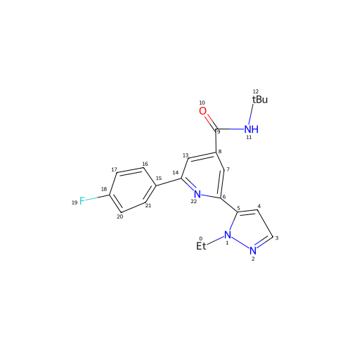 CCn1nccc1-c1cc(C(=O)NC(C)(C)C)cc(-c2ccc(F)cc2)n1